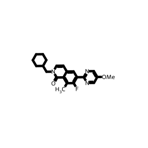 COc1cnc(-c2cc3ccn(CC4CCCCC4)c(=O)c3c(C)c2F)nc1